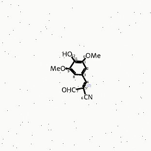 COc1cc(/C=C(/C#N)C=O)cc(OC)c1O